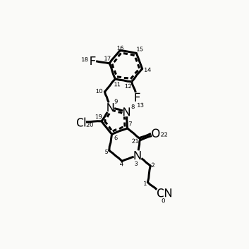 N#CCCN1CCc2c(nn(Cc3c(F)cccc3F)c2Cl)C1=O